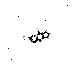 Cc1ccc2nc3c(c(=O)n2c1)CCC3